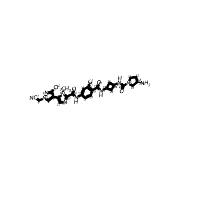 Cn1c(-c2cn(CC#N)nc2C(F)(F)F)cnc1C(=O)Nc1ccc(C(=O)NC2CC(NC(=O)N3CC[C@@H](N)C3)C2)c(Cl)c1